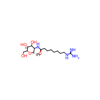 CC(C)[C@@H]1OC(CO)[C@@H](O)C(O)C1NC(=O)CCCCCCCNC(=N)N